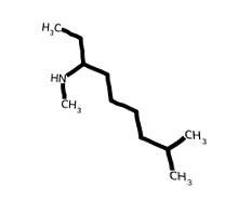 CCC(CCCCC(C)C)NC